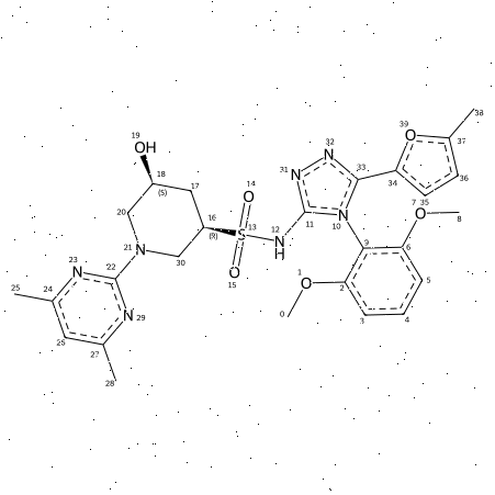 COc1cccc(OC)c1-n1c(NS(=O)(=O)[C@@H]2C[C@H](O)CN(c3nc(C)cc(C)n3)C2)nnc1-c1ccc(C)o1